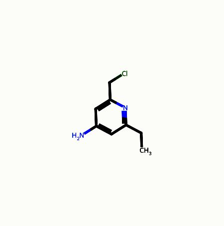 CCc1cc(N)cc(CCl)n1